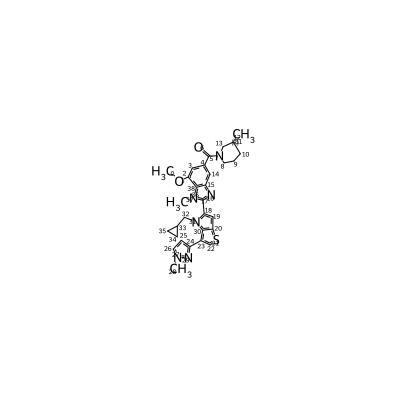 COc1cc(C(=O)N2CCC[C@@H](C)C2)cc2nc(-c3cc4scc(-c5ccn(C)n5)c4n3CC3CC3)n(C)c12